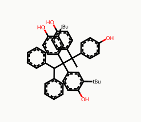 CC(C)(C)c1cc(C(c2ccc(O)c(C(C)(C)C)c2)(C(c2ccccc2)c2ccccc2)C(C)(c2ccc(O)cc2)c2ccc(O)cc2)ccc1O